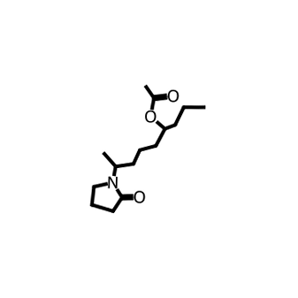 CCCC(CCCC(C)N1CCCC1=O)OC(C)=O